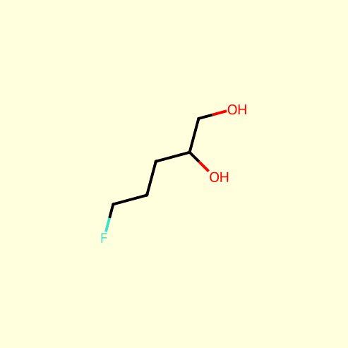 OCC(O)CCCF